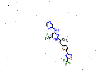 C\C(=C/N=C(\C=C(/N)C(F)(F)F)Nc1cnccn1)Cc1ccc(-c2noc(C(F)(F)F)n2)s1